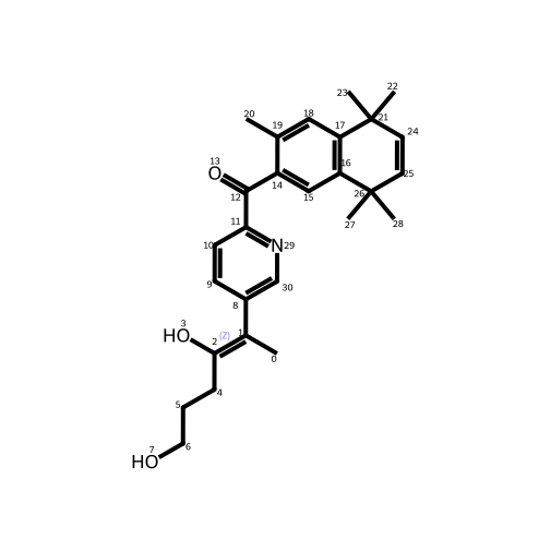 C/C(=C(/O)CCCO)c1ccc(C(=O)c2cc3c(cc2C)C(C)(C)C=CC3(C)C)nc1